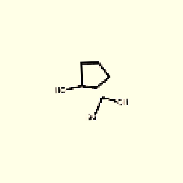 CCC(C)CO.OC1CCCC1